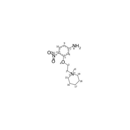 C[N+]1(CCOc2cc(N)ccc2[N+](=O)[O-])CCCCC1